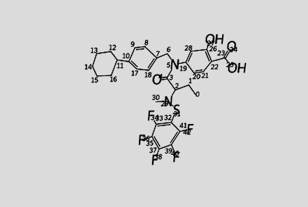 CCC(C(=O)N(Cc1ccc(C2CCCCC2)cc1)c1ccc(C(=O)O)c(O)c1)N(C)Sc1c(F)c(F)c(F)c(F)c1F